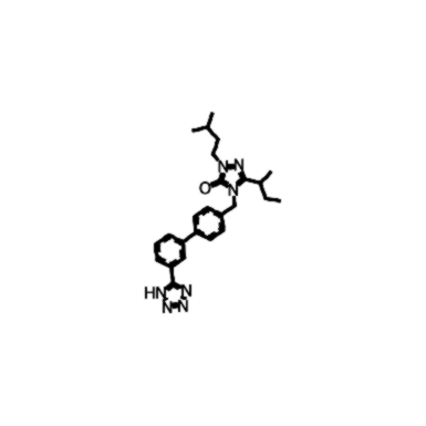 CCC(C)c1nn(CCC(C)C)c(=O)n1Cc1ccc(-c2cccc(-c3nnn[nH]3)c2)cc1